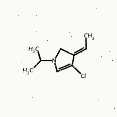 C/C=C1\CN(C(C)C)C=C1Cl